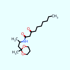 CCCCCCCC(=O)CC(=O)NC(C)CC1(C)OCCCO1